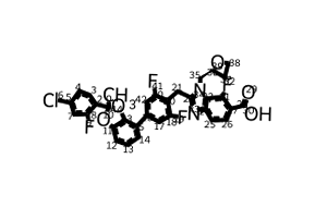 CC1(c2ccc(Cl)cc2F)Oc2cccc(-c3cc(F)c(Cc4nc5ccc(C(=O)O)c(F)c5n4C[C@@H]4CCO4)c(F)c3)c2O1